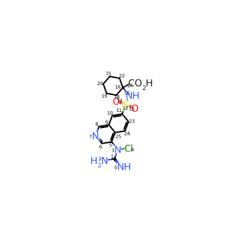 N=C(N)N(Cl)c1cncc2cc(S(=O)(=O)NC3(C(=O)O)CCCCC3)ccc12